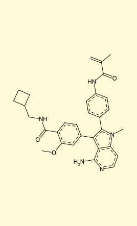 C=C(C)C(=O)Nc1ccc(-c2c(-c3ccc(C(=O)NCC4CCC4)c(OC)c3)c3c(N)nccc3n2C)cc1